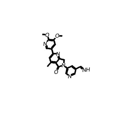 COc1cc(-c2cc(C)c3c(n2)CN(c2cncc(C=N)c2)C3=O)cnc1OC